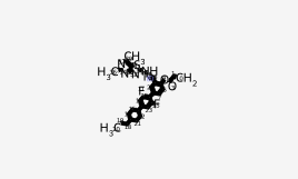 C=CC(=O)Oc1ccc(-c2c(F)cc(C3CCC(CCC)CC3)cc2F)cc1/C=N/Nc1nc2nc(C)nc(C)c2s1